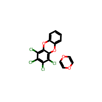 C1=COC=CO1.Clc1c(Cl)c(Cl)c2c(c1Cl)Oc1ccccc1O2